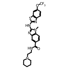 Cn1c(Nc2nc3ccc(OC(F)(F)F)cc3s2)nc2cc(C(=O)NCCN3CCCCC3)ccc21